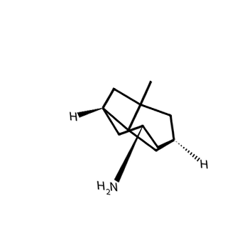 CC12C[C@H]3CC1[C@H](C[C@@H](N)C3)C2